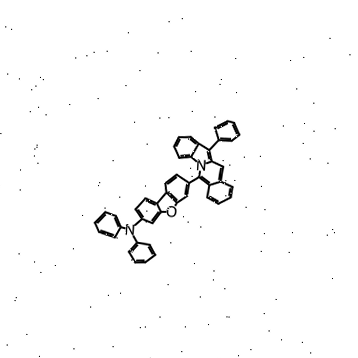 c1ccc(-c2c3ccccc3n3c(-c4ccc5c(c4)oc4cc(N(c6ccccc6)c6ccccc6)ccc45)c4ccccc4cc23)cc1